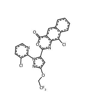 O=c1oc(-c2cc(OCC(F)(F)F)nn2-c2ncccc2Cl)nc2c(Cl)c3ccccc3cc12